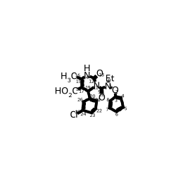 CCN(Oc1ccccc1)C(=O)N1C(=O)NC(C)=C(C(=O)O)C1c1cccc(Cl)c1